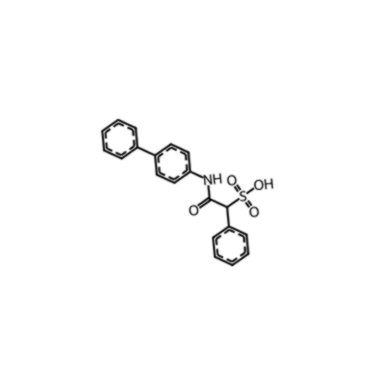 O=C(Nc1ccc(-c2ccccc2)cc1)C(c1ccccc1)S(=O)(=O)O